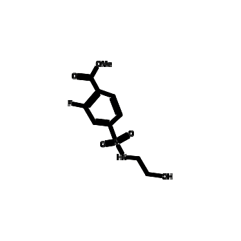 COC(=O)c1ccc(S(=O)(=O)NCCO)cc1F